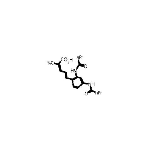 CCCC(=O)Nc1ccc(C=CC=C(C#N)C(=O)O)c(NC(=O)CCC)c1